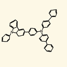 C1=C(c2ccc(N(c3ccc(-c4ccccc4)cc3)c3ccc(-c4ccccc4)cc3)cc2)C=C2c3ccccc3N(c3ccccc3)C2C1